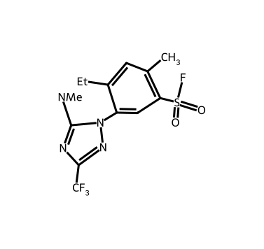 CCc1cc(C)c(S(=O)(=O)F)cc1-n1nc(C(F)(F)F)nc1NC